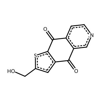 O=C1c2cnccc2C(=O)c2sc(CO)cc21